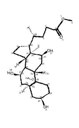 COC(=O)CC[C@@H](C)[C@H]1CC[C@H]2C3[C@H](O)C[C@@H]4C[C@H](O)CC[C@]4(C)[C@H]3C[C@H](O)[C@]12C